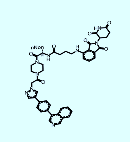 CCCCCCCCC[C@H](NC(=O)CCCNc1cccc2c1C(=O)N(C1CCC(=O)NC1=O)C2=O)C(=O)N1CCN(C(=O)Cn2cc(-c3ccc(-c4cncc5ccccc45)cc3)cn2)CC1